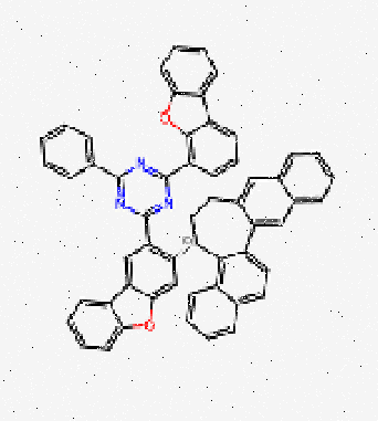 c1ccc(-c2nc(-c3cc4c(cc3[C@@H]3CCc5cc6ccccc6cc5-c5ccc6ccccc6c53)oc3ccccc34)nc(-c3cccc4c3oc3ccccc34)n2)cc1